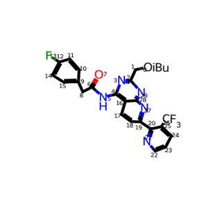 CC(C)COCc1nc(NC(=O)Cc2ccc(F)cc2)c2ccc(-c3ncccc3C(F)(F)F)nc2n1